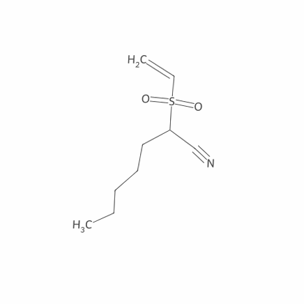 C=CS(=O)(=O)C(C#N)CCCCC